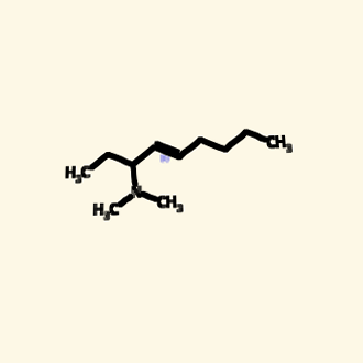 CCCC/C=C/C(CC)N(C)C